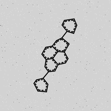 c1ccc(-c2cc3ccc4cc(-c5ccccc5)cc5ccc(c2)c3c45)cc1